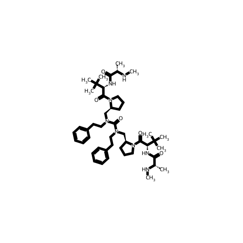 CN[C@@H](C)C(=O)N[C@H](C(=O)N1CCC[C@H]1CN(CCc1ccccc1)C(=O)N(CCc1ccccc1)C[C@@H]1CCCN1C(=O)[C@@H](NC(=O)[C@H](C)NC)C(C)(C)C)C(C)(C)C